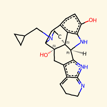 Oc1ccc2c3c1N[C@H]1c4[nH]c5c(c4C[C@@]4(O)C(C2)N(CC2CC2)CC[C@]314)=CCCN=5